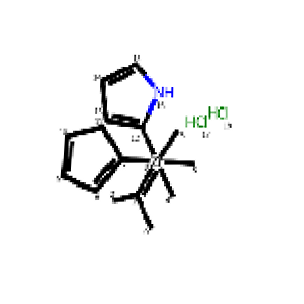 C[C](C)=[Zr]([CH3])([CH3])([CH3])([C]1=CC=CC1)[c]1ccc[nH]1.Cl.Cl